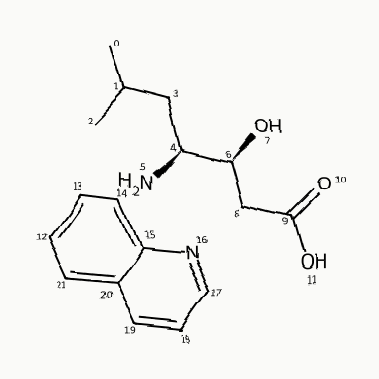 CC(C)C[C@H](N)[C@@H](O)CC(=O)O.c1ccc2ncccc2c1